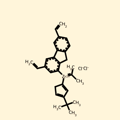 C=Cc1ccc2c(c1)-c1cc(C=C)c[c]([Zr+2]([C]3=CC(C(C)(C)C)=CC3)=[C](C)C)c1C2.[Cl-].[Cl-]